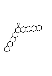 O=C1CC2CC3CC4CC5CCCCC5CC4CC3CC2C2CC3CC4CC5CCCCC5CC4CC3CC12